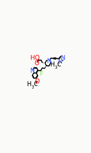 COc1ccc2nccc([C@H](F)CC[C@@H]3CCN(CC#Cc4cncn4C)C[C@H]3CCC(=O)O)c2c1